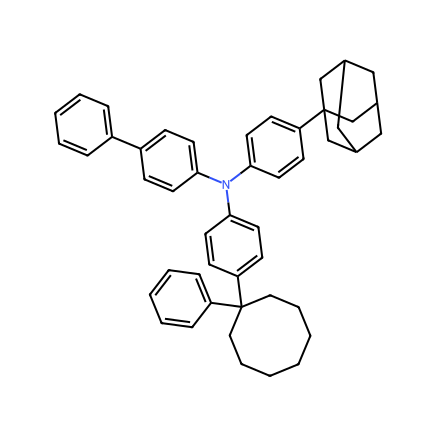 c1ccc(-c2ccc(N(c3ccc(C45CC6CC(CC(C6)C4)C5)cc3)c3ccc(C4(c5ccccc5)CCCCCCC4)cc3)cc2)cc1